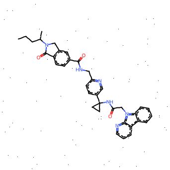 CCCC(C)N1Cc2cc(C(=O)NCc3ccc(C4(NC(=O)Cn5c6ccccc6c6cccnc65)CC4)cn3)ccc2C1=O